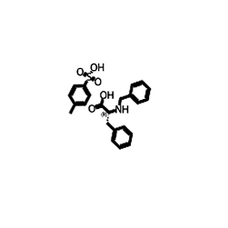 Cc1ccc(S(=O)(=O)O)cc1.O=C(O)[C@@H](Cc1ccccc1)NCc1ccccc1